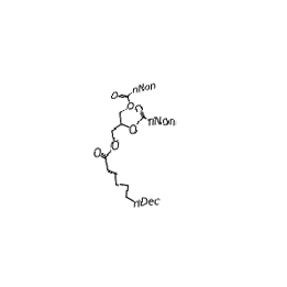 CCCCCCCCCCCCCCCC(=O)OCC(COC(=O)CCCCCCCCC)OC(=O)CCCCCCCCC